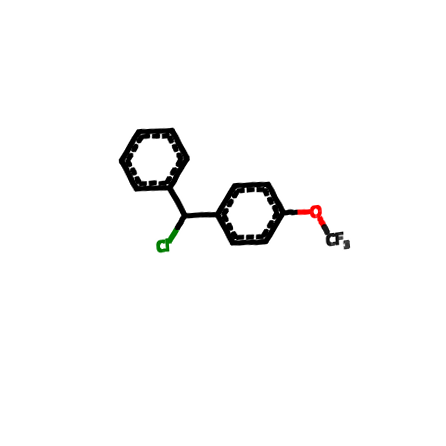 FC(F)(F)Oc1ccc(C(Cl)c2ccccc2)cc1